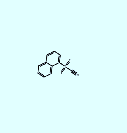 N#CS(=O)(=O)c1cccc2ccccc12